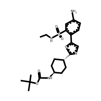 CCNS(=O)(=O)c1cc(N)ccc1-c1cnc([C@H]2CC[C@H](NC(=O)OC(C)(C)C)CC2)s1